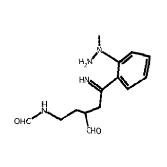 CN(N)c1ccccc1C(=N)CC(C=O)CCNC=O